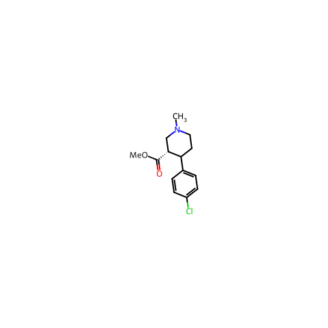 COC(=O)[C@@H]1CN(C)CCC1c1ccc(Cl)cc1